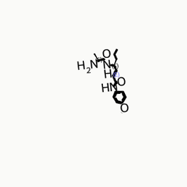 CCC[C@@H](/C=C/C(=O)Nc1ccc(OC)cc1)NC(=O)[C@H](C)N